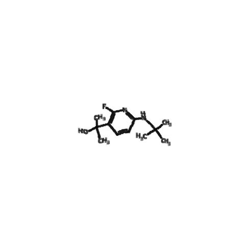 CC(C)(C)Nc1ccc(C(C)(C)O)c(F)n1